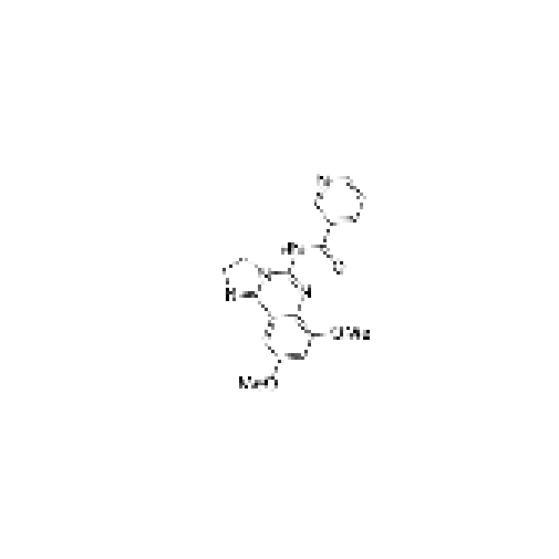 COc1cc(OC)c2c(c1)C1=NCCN1C(NC(=O)c1cccnc1)=N2